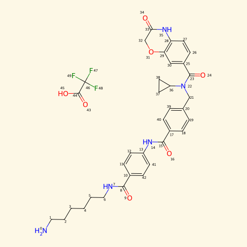 NCCCCCCNC(=O)c1ccc(NC(=O)c2ccc(CN(C(=O)c3ccc4c(c3)OCC(=O)N4)C3CC3)cc2)cc1.O=C(O)C(F)(F)F